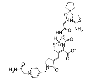 NC(=O)C[n+]1ccc(CN2CCC(=CC3=C(C(=O)[O-])N4C(=O)[C@@H](NC(=O)C=NOC5(c6csc(N)n6)CCCC5)[C@H]4SC3)C2=O)cc1